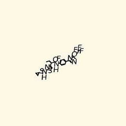 CCC(C(=O)Nc1ccc(-c2cncc(OCC(F)(F)F)n2)cc1F)c1csc(NSC2CC2)n1